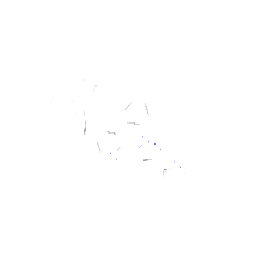 C[C@H](COc1cc(F)cc(F)c1-c1c(-c2cc3n(n2)CCN(C(=O)O)[C@H]3C)nc(O)c2ccsc12)O[Si](C)(C)C(C)(C)C